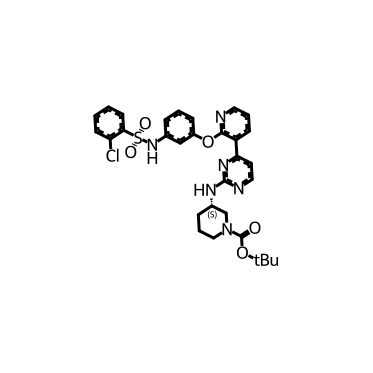 CC(C)(C)OC(=O)N1CCC[C@H](Nc2nccc(-c3cccnc3Oc3cccc(NS(=O)(=O)c4ccccc4Cl)c3)n2)C1